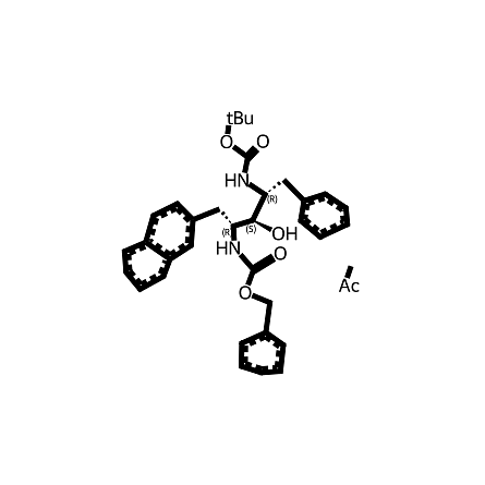 CC(C)(C)OC(=O)N[C@H](Cc1ccccc1)[C@@H](O)[C@@H](Cc1ccc2ccccc2c1)NC(=O)OCc1ccccc1.CC(C)=O